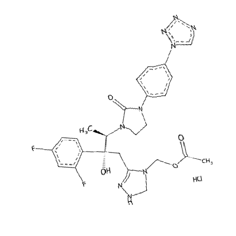 CC(=O)OCN1CNN=C1C[C@@](O)(c1ccc(F)cc1F)[C@@H](C)N1CCN(c2ccc(-n3cnnn3)cc2)C1=O.Cl